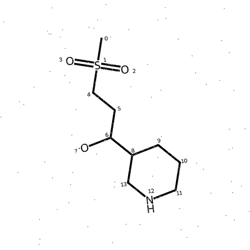 CS(=O)(=O)CCC([O])C1CCCNC1